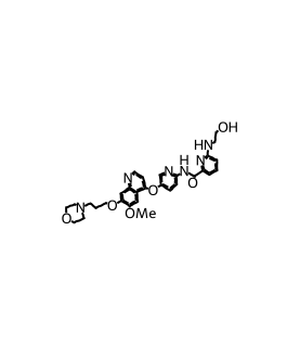 COc1cc2c(Oc3ccc(NC(=O)c4cccc(NCCO)n4)nc3)ccnc2cc1OCCCN1CCOCC1